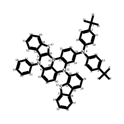 CC(C)(C)c1ccc(N(c2ccc(C(C)(C)C)cc2)c2ccc3c(c2)N(c2cccc4c2sc2ccccc24)c2cccc4c2B3c2sc3ccccc3c2N4c2ccccc2)cc1